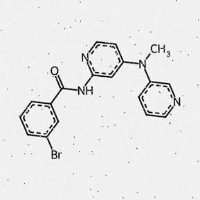 CN(c1cccnc1)c1ccnc(NC(=O)c2cccc(Br)c2)c1